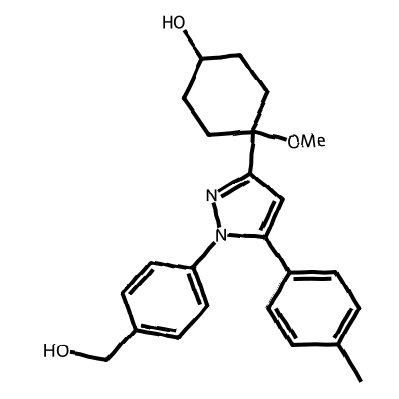 COC1(c2cc(-c3ccc(C)cc3)n(-c3ccc(CO)cc3)n2)CCC(O)CC1